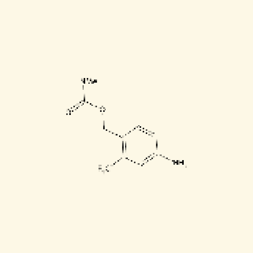 CNC(=O)OCc1ccc(N)cc1C(F)(F)F